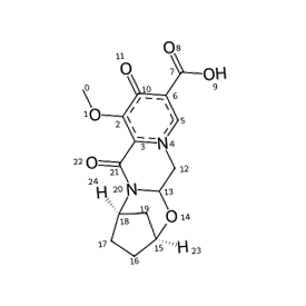 COc1c2n(cc(C(=O)O)c1=O)CC1O[C@H]3CC[C@H](C3)N1C2=O